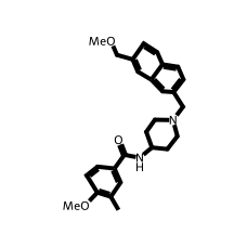 COCc1ccc2ccc(CN3CCC(NC(=O)c4ccc(OC)c(C)c4)CC3)cc2c1